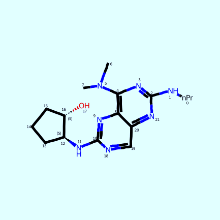 CCCNc1nc(N(C)C)c2nc(N[C@H]3CCC[C@@H]3O)ncc2n1